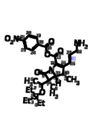 CC[Si](CC)(CC)OC(C)[C@@]1(C)C(=O)N2C(C(=O)OC(=O)c3ccc([N+](=O)[O-])cc3)=C(/C=C/CN)[C@H](C)[C@@H]21